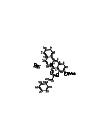 COc1ccc2cc3c4ccccc4cc[n+]3cc2c1OC(=O)C=Cc1ccccc1.[Br-]